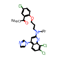 COC(=O)c1cc(Cl)ccc1OCCCN(c1cc(-n2ccnc2)c2ccc(Cl)c(Cl)c2n1)C(C)C